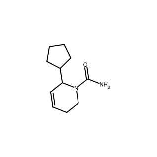 NC(=O)N1CCC=CC1C1CCCC1